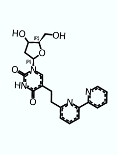 O=c1[nH]c(=O)n([C@H]2CC(O)[C@@H](CO)O2)cc1CCc1cccc(-c2ccccn2)n1